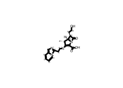 C[C@H]1C(SCCc2ncc3ccccn23)=C(C(=O)O)N2C(=O)[C@H](CCO)[C@H]12